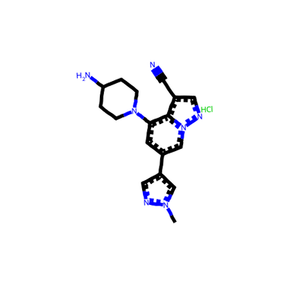 Cl.Cn1cc(-c2cc(N3CCC(N)CC3)c3c(C#N)cnn3c2)cn1